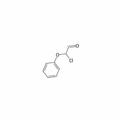 O=[C]C(Cl)Oc1ccccc1